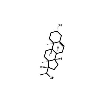 C[C@H](O)[C@@]1(O)CC[C@H]2[C@@H]3CC=C4C[C@@H](O)CC[C@]4(C)[C@H]3CC[C@@]21C